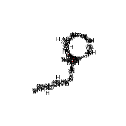 C[C@H]1NC(=O)[C@@H](C)NC(=O)[C@H](NC(=O)CNCCCn2cc(CCCCN(C)CCNC(=O)c3ccc(-c4nc5cc(-c6ccc7[nH]c(-c8ccc(C(=O)NCCN(C)C)cc8)nc7c6)ccc5[nH]4)cc3)nn2)n2c(-c3ccc(C(=O)NCCN(C)C)cc3)nc3cc(ccc32)-c2ccc3[nH]c(nc3c2)-c2ccc(cc2)C(=O)NCCN(C)CCCCc2cn(nn2)CCCN(CC(N)=O)C(=O)[C@@H](C)NC1=O